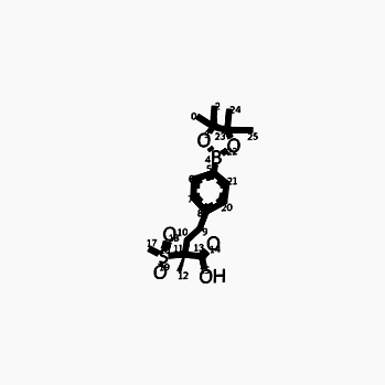 CC1(C)OB(c2ccc(CC[C@](C)(C(=O)O)S(C)(=O)=O)cc2)OC1(C)C